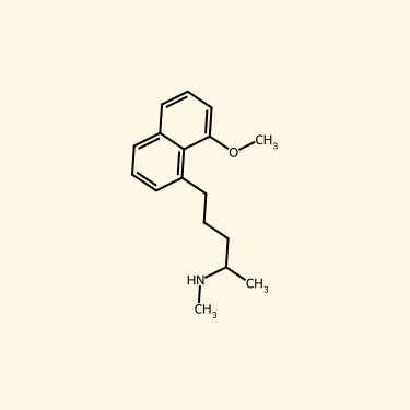 CNC(C)CCCc1cccc2cccc(OC)c12